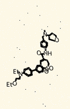 CCOCCN(CC)c1ccc(-c2ccc3c(c2)C=C(C(=O)Nc2ccc(CN(C)C4CCOCC4)cc2)CCS3(=O)=O)cc1